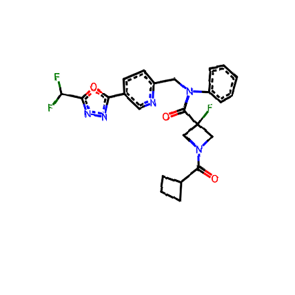 O=C(C1CCC1)N1CC(F)(C(=O)N(Cc2ccc(-c3nnc(C(F)F)o3)cn2)c2ccccc2)C1